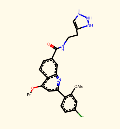 CCOc1cc(-c2ccc(F)cc2OC)nc2cc(C(=O)NCCC3=CNNN3)ccc12